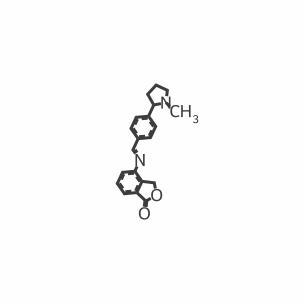 CN1CCCC1c1ccc(C=Nc2cccc3c2COC3=O)cc1